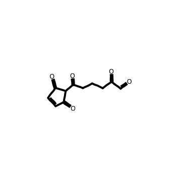 O=CC(=O)CCCC(=O)C1C(=O)C=CC1=O